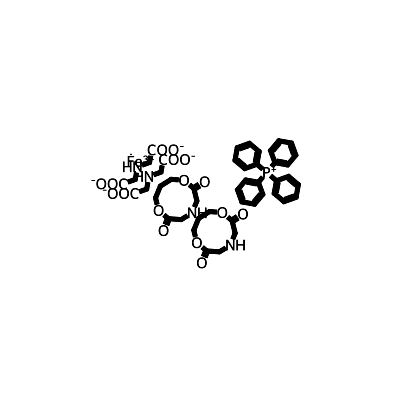 O=C([O-])CNCC(=O)[O-].O=C([O-])CNCC(=O)[O-].O=C1CNCC(=O)OCCCO1.O=C1CNCC(=O)OCCCO1.[Fe+3].c1ccc([P+](c2ccccc2)(c2ccccc2)c2ccccc2)cc1